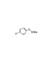 COSc1ccc(F)cc1